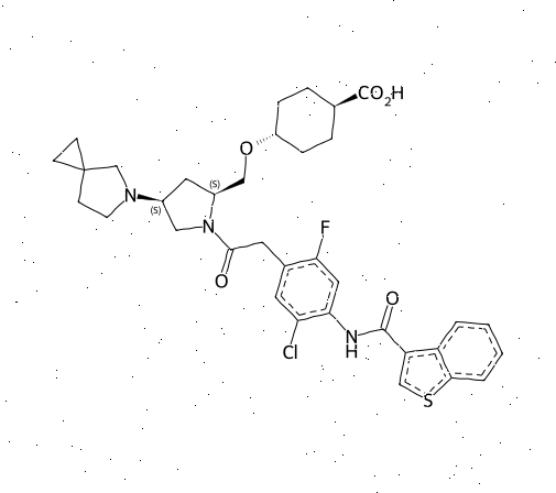 O=C(Nc1cc(F)c(CC(=O)N2C[C@@H](N3CCC4(CC4)C3)C[C@H]2CO[C@H]2CC[C@H](C(=O)O)CC2)cc1Cl)c1csc2ccccc12